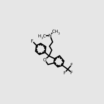 CN(C)CCCC1(c2ccc(F)cc2)OCc2cc(C(F)(F)F)ccc21